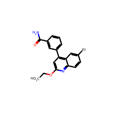 CCc1ccc2nc(OCC(=O)O)cc(-c3cccc(C(N)=O)c3)c2c1